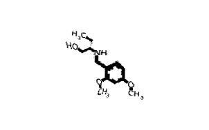 CC[C@@H](CO)NCc1ccc(OC)cc1OC